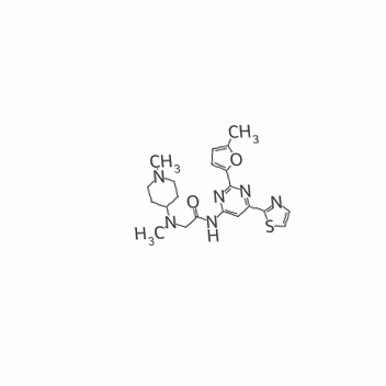 Cc1ccc(-c2nc(NC(=O)CN(C)C3CCN(C)CC3)cc(-c3nccs3)n2)o1